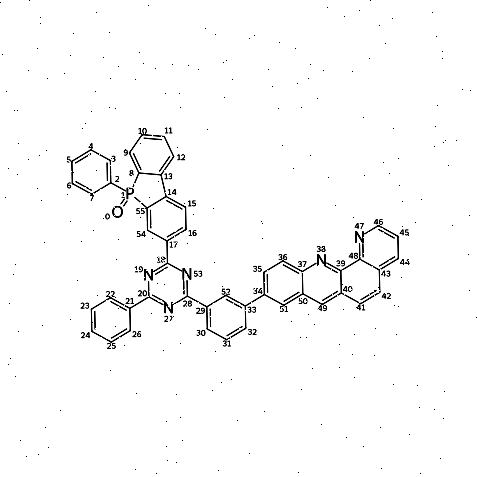 O=P1(c2ccccc2)c2ccccc2-c2ccc(-c3nc(-c4ccccc4)nc(-c4cccc(-c5ccc6nc7c(ccc8cccnc87)cc6c5)c4)n3)cc21